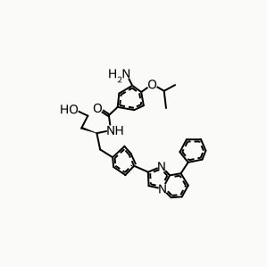 CC(C)Oc1ccc(C(=O)N[C@H](CCO)Cc2ccc(-c3cn4cccc(-c5ccccc5)c4n3)cc2)cc1N